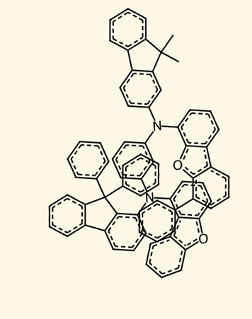 CC1(C)c2ccccc2-c2ccc(N(c3cccc(N(c4cccc5c4C(c4ccccc4)(c4ccccc4)c4ccccc4-5)c4cccc5oc6ccccc6c45)c3)c3cccc4c3oc3c(-c5ccccc5)cccc34)cc21